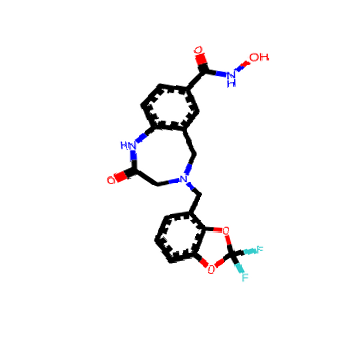 O=C1CN(Cc2cccc3c2OC(F)(F)O3)Cc2cc(C(=O)NO)ccc2N1